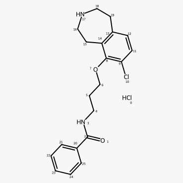 Cl.O=C(NCCCOc1c(Cl)ccc2c1CCNCC2)c1ccccc1